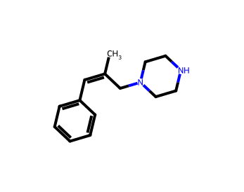 CC(=Cc1ccccc1)CN1CCNCC1